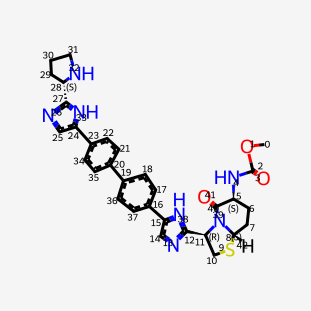 COC(=O)N[C@H]1CC[C@@H]2SC[C@@H](c3ncc(-c4ccc(-c5ccc(-c6cnc([C@@H]7CCCN7)[nH]6)cc5)cc4)[nH]3)N2C1=O